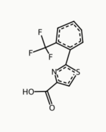 O=C(O)c1csc(-c2ccccc2C(F)(F)F)n1